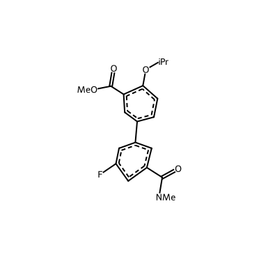 CNC(=O)c1cc(F)cc(-c2ccc(OC(C)C)c(C(=O)OC)c2)c1